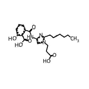 CCCCCCc1nc(NC(=O)c2cccc(O)c2C(=O)O)cn1CCC(=O)O